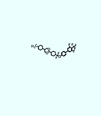 CC1CCC(C2COC(C3CCC(C(F)(F)Oc4ccc(-c5cc(F)c(C(F)(F)F)c(F)c5)cc4)CC3)OC2)CC1